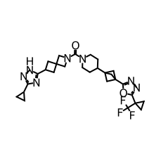 O=C(N1CCC(C23CC(c4nnc(C5(C(F)(F)F)CC5)o4)(C2)C3)CC1)N1CC2(CC(c3nc(C4CC4)n[nH]3)C2)C1